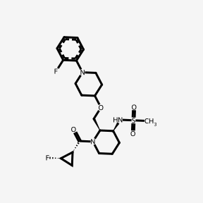 CS(=O)(=O)N[C@H]1CCCN(C(=O)[C@@H]2C[C@@H]2F)[C@H]1COC1CCN(c2ccccc2F)CC1